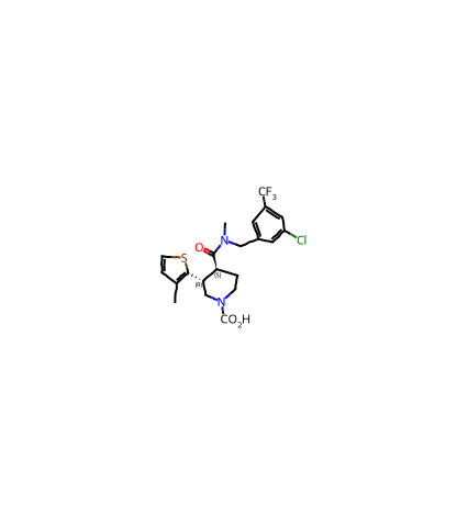 Cc1ccsc1[C@H]1CN(C(=O)O)CC[C@@H]1C(=O)N(C)Cc1cc(Cl)cc(C(F)(F)F)c1